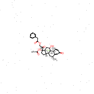 CCCC(=O)O[C@]1(C(=O)COC(=O)Cc2ccccc2)CC[C@H]2[C@@H]3C[C@H](C)C4=CC(=O)C=C[C@]4(C)[C@@]3(F)C(O)C[C@@]21C